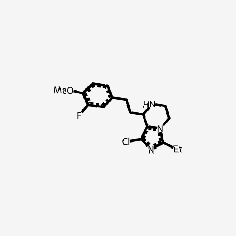 CCc1nc(Cl)c2n1CCNC2CCc1ccc(OC)c(F)c1